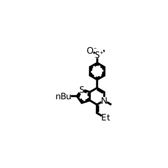 CC/C=C1/c2cc(CCCC)sc2C(c2ccc([S+](C)[O-])cc2)=CN1C